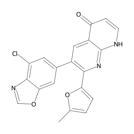 Cc1ccc(-c2nc3[nH]ccc(=O)c3cc2-c2cc(Cl)c3ncoc3c2)o1